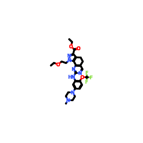 CCOCCn1nc(C(=O)OCC)c2c1-c1nc(Nc3cc(N4CCN(C)CC4)ccc3OC(F)(F)F)ncc1CC2